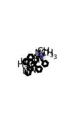 C/C=C1\C(=N/C)N2c3ccccc3C3(C)C(C)(C2N1c1ccccc1)C31c2ccccc2N2c3cccnc3N(c3ccccc3)C21